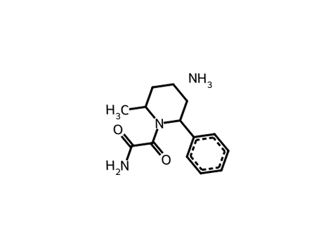 CC1CCCC(c2ccccc2)N1C(=O)C(N)=O.N